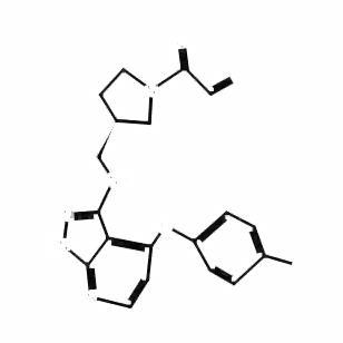 C=CC(=O)N1CC[C@H](CNc2n[nH]c3nccc(Oc4ccc(C)cc4)c23)C1